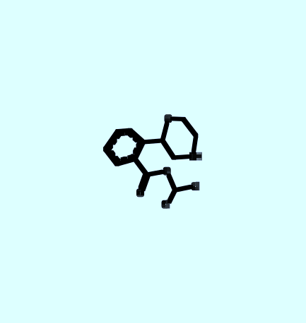 O=C(OC(Cl)Cl)c1ccccc1C1CNCCO1